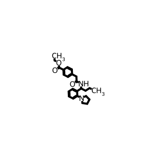 CCCC(NC(=O)Cc1ccc(C(=O)OCC)cc1)c1ccccc1N1CCCC1